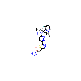 CC(C)(Nc1ccc(-c2ncc(CC(N)=O)s2)nn1)c1ncccc1F